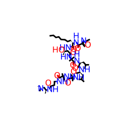 CCCCCCCC[C@H](NC(=O)c1coc(C)n1)C(=O)N[C@H](C(=O)NC(C)(C)C(=O)N[C@@H](CC(C)C)C(=O)N[C@@H](CC(C)C)C(=O)NC(C)(C)C(=O)NC(C)(C)C(=O)NCCC(=O)N[C@@H](C)CN(C)C)[C@@H](C)O